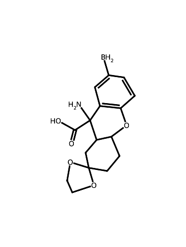 Bc1ccc2c(c1)C(N)(C(=O)O)C1CC3(CCC1O2)OCCO3